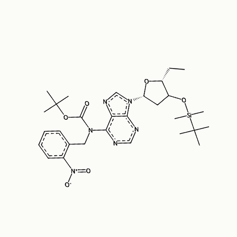 CC[C@H]1O[C@@H](n2cnc3c(N(Cc4ccccc4[N+](=O)[O-])C(=O)OC(C)(C)C)ncnc32)CC1O[Si](C)(C)C(C)(C)C